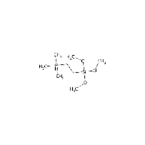 CO[Si](CC[PH](C)(C)C)(OC)OC